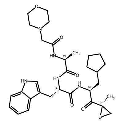 C[C@H](NC(=O)CN1CCOCC1)C(=O)N[C@@H](Cc1c[nH]c2ccccc12)C(=O)N[C@@H](CC1CCCC1)C(=O)[C@@]1(C)CO1